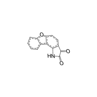 O=C1Nc2c(ccc3oc4ccccc4c23)C1=O